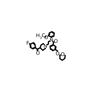 COc1ccccc1N(CCN1CCC(C(=O)c2ccc(F)cc2)CC1)C(=O)c1cccc(COC2CCCCO2)c1